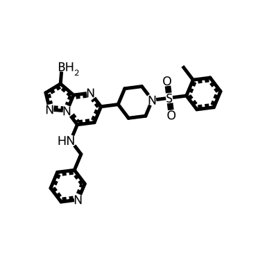 Bc1cnn2c(NCc3cccnc3)cc(C3CCN(S(=O)(=O)c4ccccc4C)CC3)nc12